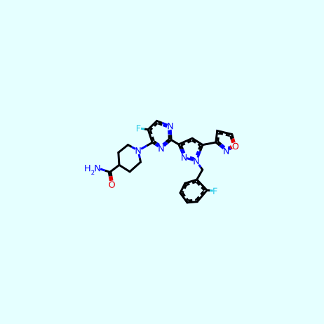 NC(=O)C1CCN(c2nc(-c3cc(-c4ccon4)n(Cc4ccccc4F)n3)ncc2F)CC1